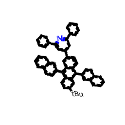 CC(C)(C)c1ccc2c(-c3ccc4ccccc4c3)c3cc(-c4cc(-c5ccccc5)nc(-c5ccccc5)c4)ccc3c(-c3ccc4ccccc4c3)c2c1